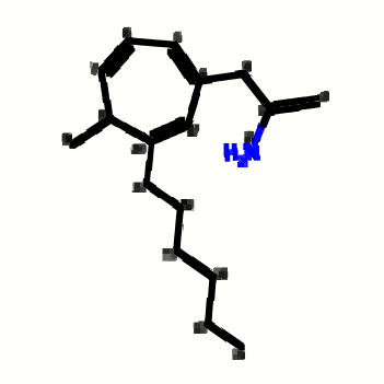 C=C(N)CC1=CC=CC(C)C(CCCCCC)=C1